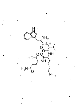 CC(C)[C@H](NC(=O)[C@@H](N)Cc1c[nH]c2ccccc12)C(=O)N[C@@H](CCCCN)C(=O)N[C@@H](CCC(N)=O)C(=O)O